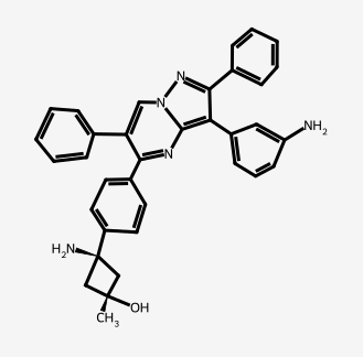 C[C@]1(O)C[C@@](N)(c2ccc(-c3nc4c(-c5cccc(N)c5)c(-c5ccccc5)nn4cc3-c3ccccc3)cc2)C1